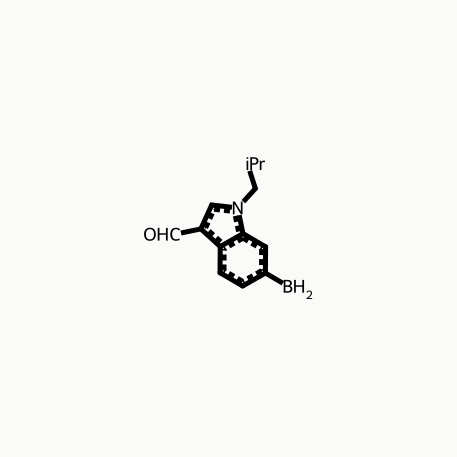 Bc1ccc2c(C=O)cn(CC(C)C)c2c1